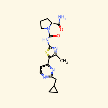 Cc1nc(NC(=O)N2CCC[C@H]2C(N)=O)sc1-c1ccnc(CC2CC2)n1